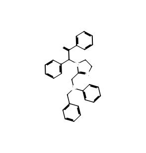 O=C(c1ccccc1)C(c1ccccc1)N1CCN=C1CN(Cc1ccccc1)c1ccccc1